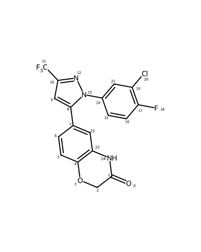 O=C1COc2ccc(-c3cc(C(F)(F)F)nn3-c3ccc(F)c(Cl)c3)cc2N1